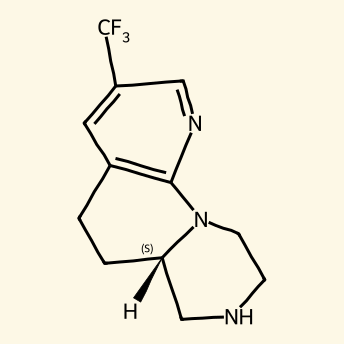 FC(F)(F)c1cnc2c(c1)CC[C@H]1CNCCN21